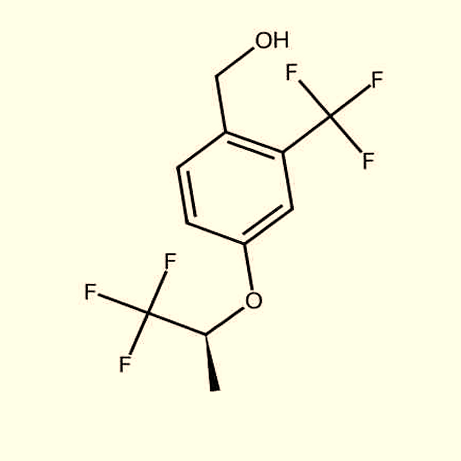 C[C@H](Oc1ccc(CO)c(C(F)(F)F)c1)C(F)(F)F